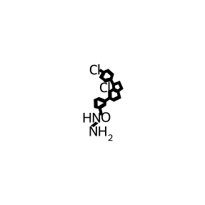 NCCNC(=O)c1cccc(-c2ccc3c(c2)C(c2ccc(Cl)cc2Cl)CC3)c1